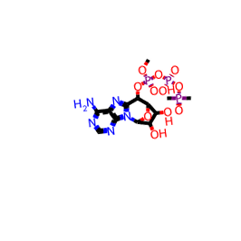 COP(=O)(OC1c2nc3c(N)ncnc3n2C2OC1C(O)C2O)OP(=O)(O)OP(C)(C)=O